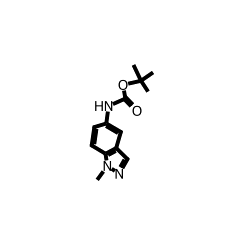 Cn1ncc2cc(NC(=O)OC(C)(C)C)ccc21